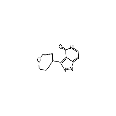 O=C1N=CC=C2N=NC(C3CCOCC3)=C12